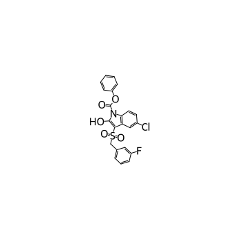 O=C(Oc1ccccc1)n1c(O)c(S(=O)(=O)Cc2cccc(F)c2)c2cc(Cl)ccc21